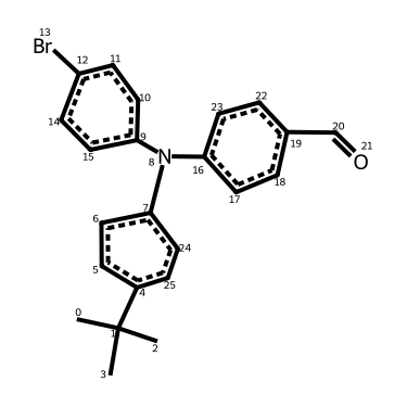 CC(C)(C)c1ccc(N(c2ccc(Br)cc2)c2ccc(C=O)cc2)cc1